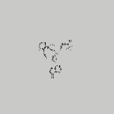 Cc1ccnc(N2CC[C@H]([C@H](CC#N)n3cc(-c4ncnc5[nH]ccc45)cn3)C2)c1C#N.O=C(O)C(F)(F)F